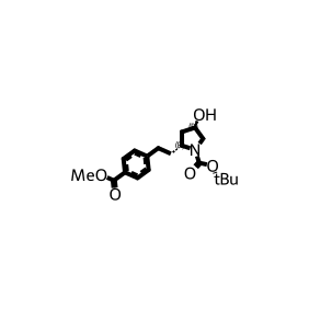 COC(=O)c1ccc(CC[C@@H]2C[C@@H](O)CN2C(=O)OC(C)(C)C)cc1